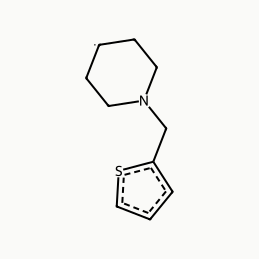 [CH]1CCN(Cc2cccs2)CC1